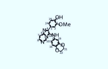 COc1cc(-c2nc3ccncn3c2Nc2ccc3c(c2)OCCO3)ccc1O